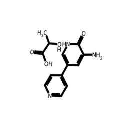 CC(O)C(=O)O.Nc1cc(-c2ccncc2)c[nH]c1=O